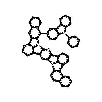 c1ccc(-n2c3ccccc3c3cc(-c4c5ccccc5cc5c6cccc7c8cc9c(nc8n(c45)c76)c4cccc5c6c7ccccc7ccc6n9c45)ccc32)cc1